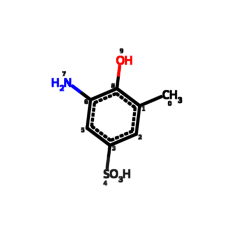 Cc1cc(S(=O)(=O)O)cc(N)c1O